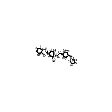 O=c1cc(N2Cc3ccccc3C2)ccn1CCc1ccc(CN2CCCC2)cc1